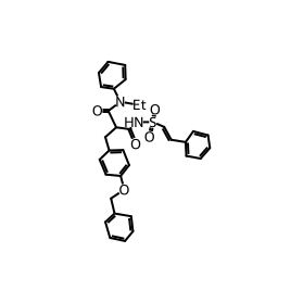 CCN(C(=O)C(Cc1ccc(OCc2ccccc2)cc1)C(=O)NS(=O)(=O)C=Cc1ccccc1)c1ccccc1